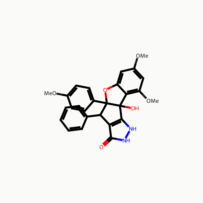 COc1ccc(C23Oc4cc(OC)cc(OC)c4C2(O)c2[nH][nH]c(=O)c2C3c2ccccc2)cc1